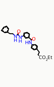 CCOC(=O)CCc1ccc(NC(=O)c2cccc(NC(=O)NCCc3ccccc3)c2)cc1